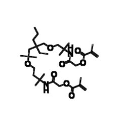 C=C(C)C(=O)OCC(=O)NC(C)(C)CCOC(C)(C)CC(CC)(CCC)COCC(C)(C)NC(=O)COC(=O)C(=C)C